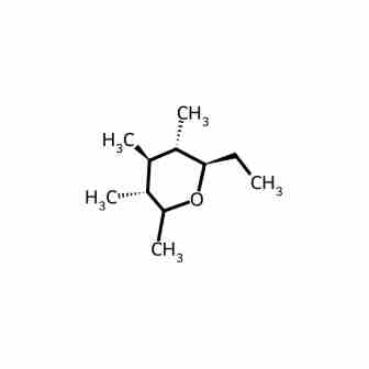 CC[C@H]1OC(C)[C@H](C)[C@@H](C)[C@@H]1C